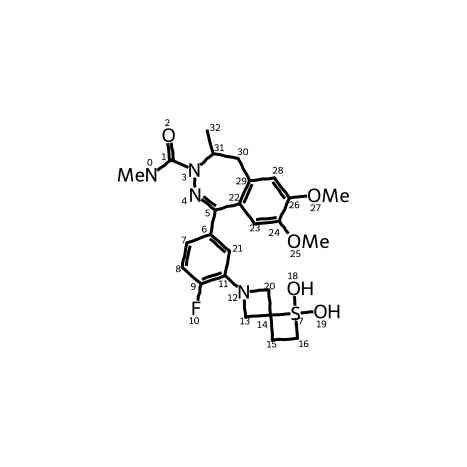 CNC(=O)N1N=C(c2ccc(F)c(N3CC4(CCS4(O)O)C3)c2)c2cc(OC)c(OC)cc2CC1C